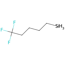 FC(F)(F)CCCC[SiH3]